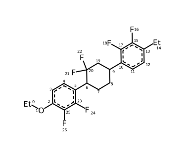 CCOc1ccc(C2CCC(c3ccc(CC)c(F)c3F)CC2(F)F)c(F)c1F